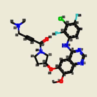 COc1cc2ncnc(Nc3ccc(F)c(Cl)c3F)c2cc1O[C@H]1CCN(C(=O)C#CCN(C)C)C1